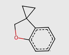 [c]1ccc2c(c1)OCC21CC1